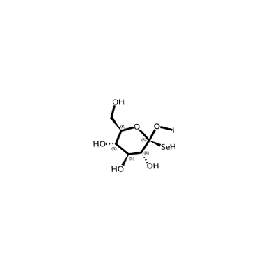 OC[C@H]1O[C@]([SeH])(OI)[C@H](O)[C@@H](O)[C@@H]1O